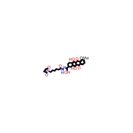 COc1cccc2c1C(=O)c1c(O)c3c(c(O)c1C2=O)CC(/C(CO)=N/NC(=O)CCCCCN1C(=O)C=CC1=O)CC3